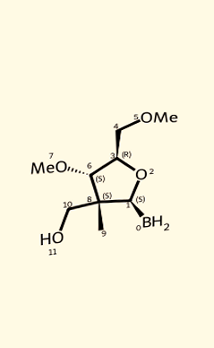 B[C@@H]1O[C@H](COC)[C@@H](OC)[C@@]1(C)CO